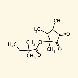 CCC(C)(C)C(=O)OC1(C)C(=O)C(=O)C(C)C1C